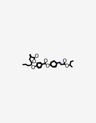 C=C1CC(C(CCC)Oc2ccc(C(=O)Oc3ccc(/C=C/C(=O)OC(C)CC)cc3)cc2)OC1=O